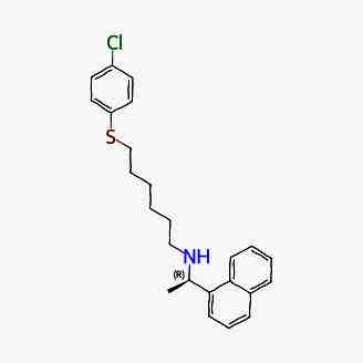 C[C@@H](NCCCCCCSc1ccc(Cl)cc1)c1cccc2ccccc12